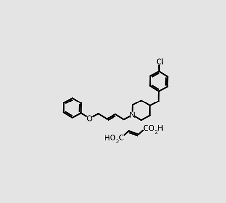 Clc1ccc(CC2CCN(CC=CCOc3ccccc3)CC2)cc1.O=C(O)C=CC(=O)O